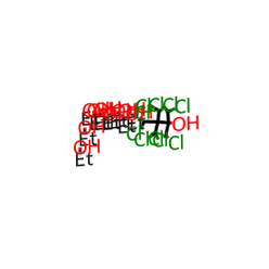 CCO.CCO.CCO.CCO.CCO.CCO.CCO.CCO.CCO.OC(C(Cl)Cl)(C(Cl)Cl)C(C(Cl)Cl)(C(Cl)Cl)C(Cl)Cl